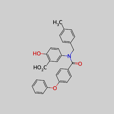 Cc1ccc(CN(C(=O)c2ccc(Oc3ccccc3)cc2)c2ccc(O)c(C(=O)O)c2)cc1